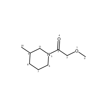 COCC(=O)N1CCCC(C)C1